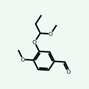 CCC(OC)Oc1cc(C=O)ccc1OC